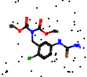 CC(C)(C)OC(=O)N(Cc1cc(NC(N)=S)ccc1Cl)C(=O)OC(C)(C)C